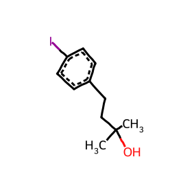 CC(C)(O)CCc1ccc(I)cc1